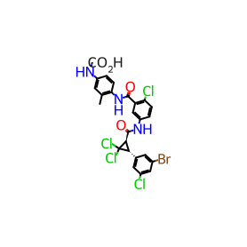 Cc1cc(NC(=O)O)ccc1NC(=O)c1cc(NC(=O)[C@H]2[C@H](c3cc(Cl)cc(Br)c3)C2(Cl)Cl)ccc1Cl